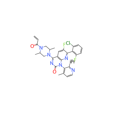 C=CC(=O)N1CC(C)N(c2nc(=O)n(-c3c(C)ccnc3C(C)C)c3nc(-c4c(F)cccc4Cl)c(F)cc23)CC1C